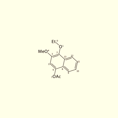 CCOc1c(OC)cc(OC(C)=O)c2ccccc12